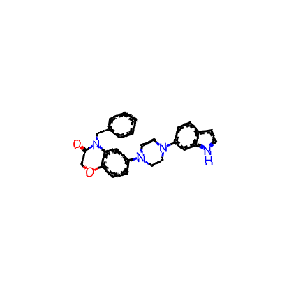 O=C1COc2ccc(N3CCN(c4ccc5cc[nH]c5c4)CC3)cc2N1Cc1ccccc1